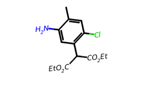 CCOC(=O)C(C(=O)OCC)c1cc(N)c(C)cc1Cl